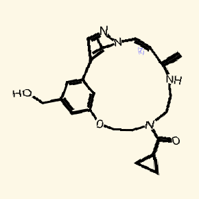 C=C1/C=C\n2ncc(c2C)-c2cc(CO)cc(c2)OCCN(C(=O)C2CC2)CCN1